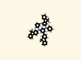 CC1(C)c2ccccc2-c2ccc(-c3cc(N(c4ccccc4)c4ccc5c(c4)C(C)(C)c4ccccc4-5)cc(N(c4ccccc4)c4ccc5c(c4)C(C)(C)c4ccccc4-5)c3)cc21